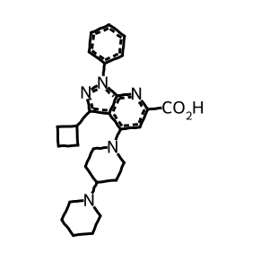 O=C(O)c1cc(N2CCC(N3CCCCC3)CC2)c2c(C3CCC3)nn(-c3ccccc3)c2n1